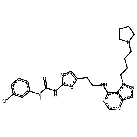 O=C(Nc1cccc(Cl)c1)Nc1ncc(CCNc2ncnc3cnn(CCCCN4CCCC4)c23)s1